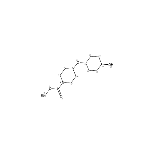 CC(C)(C)OC(=O)N1CCC(O[C@H]2CC[C@H](O)CC2)CC1